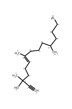 C#CC(C)(O)CCC=C(C)CCCC(C)CCCC(C)C